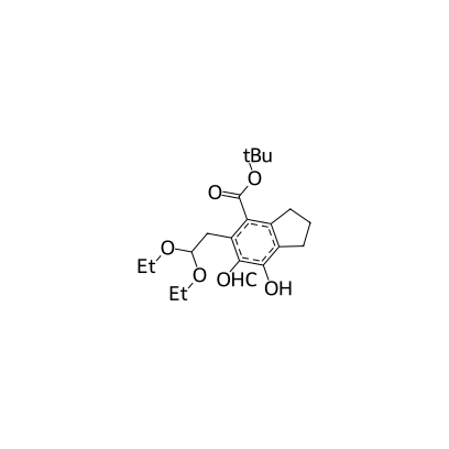 CCOC(Cc1c(C=O)c(O)c2c(c1C(=O)OC(C)(C)C)CCC2)OCC